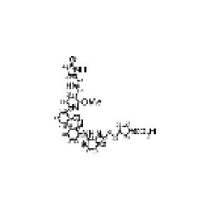 COc1nc(-c2cccc(-c3cccc(Nc4nccc5sc(CCC6CCC(C(=O)O)C6)nc45)c3Cl)c2Cl)ccc1CNCC1CCC(=O)N1